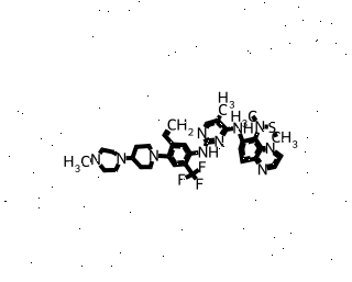 C=Cc1cc(Nc2ncc(C)c(Nc3ccc4nccnc4c3N(C)SC)n2)c(C(F)(F)F)cc1N1CCC(N2CCN(C)CC2)CC1